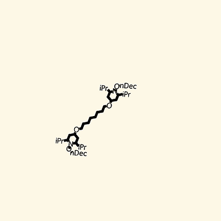 CCCCCCCCCCON1C(C(C)C)CC(OCCCCCCCCOC2CC(C(C)C)N(OCCCCCCCCCC)C(C(C)C)C2)CC1C(C)C